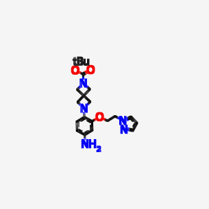 CC(C)(C)OC(=O)N1CC2(C1)CN(c1ccc(N)cc1OCCn1cccn1)C2